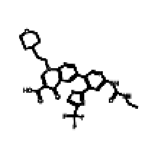 CCNC(=O)Nc1cc(-c2nc(C(F)(F)F)cs2)c(-c2cnc3c(c2)c(=O)c(C(=O)O)cn3CCC2CCOCC2)cn1